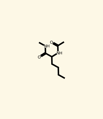 CCCCC(NC(C)=O)C(=O)NC